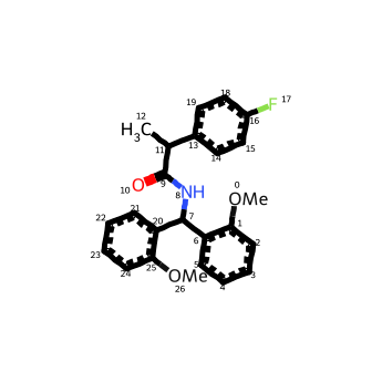 COc1ccccc1C(NC(=O)C(C)c1ccc(F)cc1)c1ccccc1OC